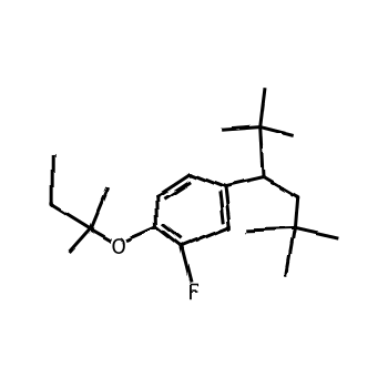 CCC(C)(C)Oc1ccc(C(CC(C)(C)C)C(C)(C)C)cc1F